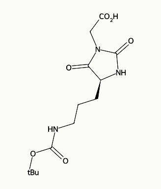 CC(C)(C)OC(=O)NCCC[C@@H]1NC(=O)N(CC(=O)O)C1=O